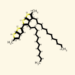 CCCCCCCCCCCCc1c(C)sc2sc(-c3cc4cc(C)sc4s3)c(CCCCCCCCCCCC)c12